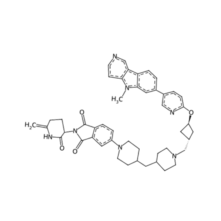 C=C1CCC(N2C(=O)c3ccc(N4CCC(CC5CCN(C[C@H]6C[C@H](Oc7ccc(-c8ccc9c%10cnccc%10n(C)c9c8)cn7)C6)CC5)CC4)cc3C2=O)C(=O)N1